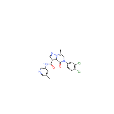 Cc1cncc(NC(=O)c2cnn3c2C(=O)N(c2ccc(Cl)c(Cl)c2)C[C@@H]3C)c1